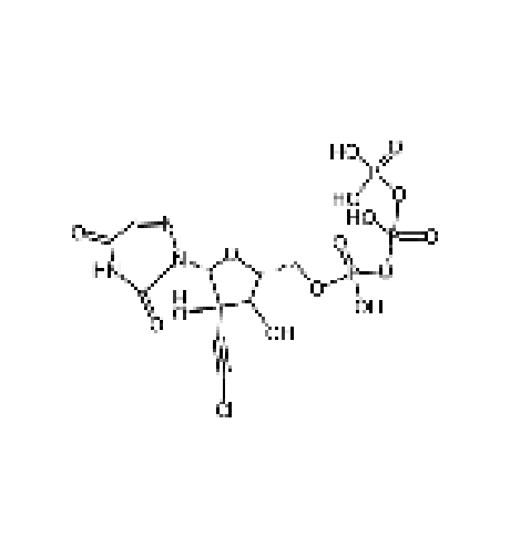 O=c1cnn([C@@H]2O[C@H](COP(=O)(O)OP(=O)(O)OP(=O)(O)O)C(O)[C@]2(O)C#CCl)c(=O)[nH]1